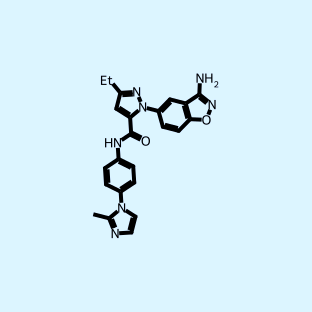 CCc1cc(C(=O)Nc2ccc(-n3ccnc3C)cc2)n(-c2ccc3onc(N)c3c2)n1